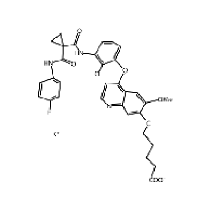 COc1cc2c(Oc3cccc(NC(=O)C4(C(=O)Nc5ccc(F)cc5)CC4)c3Cl)ccnc2cc1OCCCCC(=O)[O-].[K+]